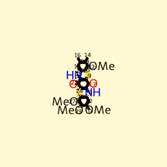 COc1cc2[nH]c3c(=O)c4sc5c(OC)c(C)c(C)cc5[nH]c4c(=O)c3sc2c(OC)c1OC